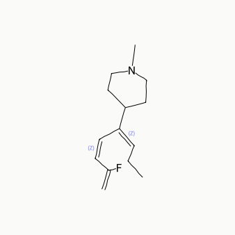 C=C(F)/C=C\C(=C/CC)C1CCN(C)CC1